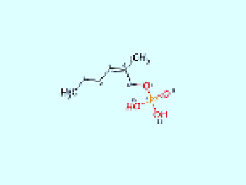 CCCC=C(C)COP(=O)(O)O